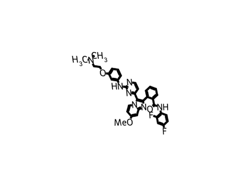 COc1ccn2c(-c3ccnc(Nc4cccc(OCCN(C)C)c4)n3)c(-c3ccccc3C(=O)Nc3ccc(F)cc3F)nc2c1